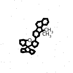 CC1(C)c2cc(-c3cccc4c3Oc3ccccc3C43c4ccccc4-c4ccccc43)ccc2-c2ccc3ccccc3c21